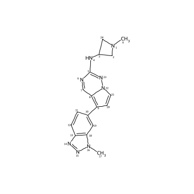 CN1CC(Nc2ncc3c(-c4ccc5nnn(C)c5c4)ccn3n2)C1